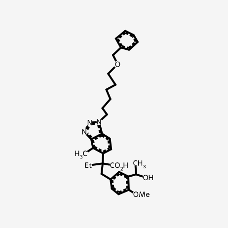 CCC(Cc1ccc(OC)c(C(C)O)c1)(C(=O)O)c1ccc2c(nnn2CCCCCCOCc2ccccc2)c1C